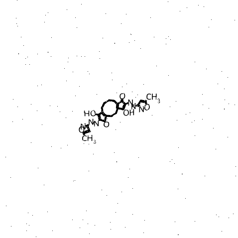 Cc1cc(N=NC2=C(O)C3=C(CCC4=C(CCCC3)C(=O)C(N=Nc3cc(C)on3)=C4O)C2=O)no1